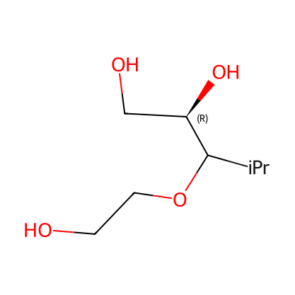 CC(C)C(OCCO)[C@H](O)CO